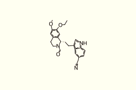 CCOc1cc2c(cc1OC)CCN(C=O)[C@H]2CCc1c[nH]c2ccc(C#N)cc12